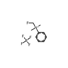 C[N+](C)(CF)c1ccccc1.F[B-](F)(F)F